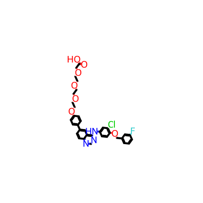 O=C(O)COCCOCCOCCOc1ccc(-c2ccc3ncnc(Nc4ccc(OCc5cccc(F)c5)c(Cl)c4)c3c2)cc1